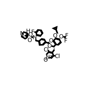 O=C(O[C@@H](Cc1c(Cl)c[n+]([O-])cc1Cl)c1ccc(OC(F)F)c(OCC2CC2)c1)c1ccc(CN(C(=O)O[C@H]2CN3CCC2CC3)c2ccccc2F)cc1